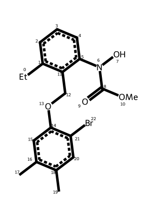 CCc1cccc(N(O)C(=O)OC)c1COc1cc(C)c(C)cc1Br